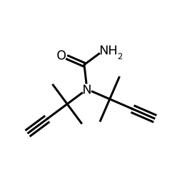 C#CC(C)(C)N(C(N)=O)C(C)(C)C#C